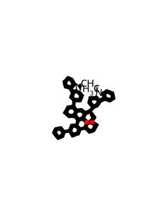 Cn1c2ccccc2c2cc(-c3cccc4c(-c5cc(-c6ccccc6)ccc5-c5ccccc5)c5cccc(-c6ccc7c(c6)c6ccccc6n7C)c5cc34)ccc21